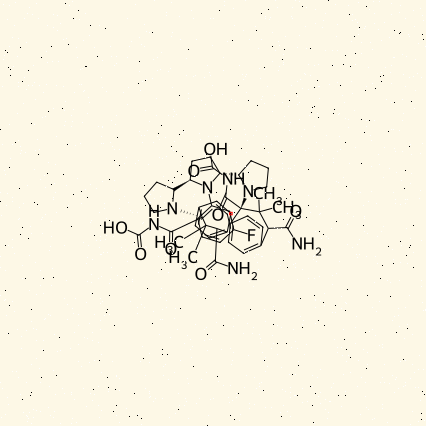 CC1(C)C(C(N)=O)c2ccc(cc2)[C@@]1(C(=O)NC(=O)O)N1CCCC1[C@H]1CC[C@H](C2CCCN2[C@]2(C(=O)NC(=O)O)c3ccc(cc3)C(C(N)=O)C2(C)C)N1c1cccc(F)c1